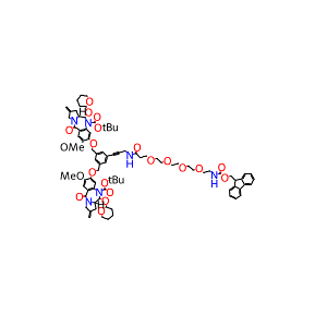 C=C1C[C@H]2[C@H](OC3CCCCO3)N(C(=O)OC(C)(C)C)c3cc(OCc4cc(C#CCNC(=O)CCOCCOCCOCCOCCNC(=O)OCC5c6ccccc6-c6ccccc65)cc(COc5cc6c(cc5OC)C(=O)N5CC(=C)C[C@H]5[C@H](OC5CCCCO5)N6C(=O)OC(C)(C)C)c4)c(OC)cc3C(=O)N2C1